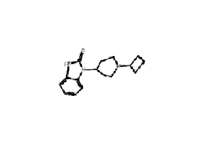 O=c1[nH]c2ccccc2n1C1CCN(C2CCC2)CC1